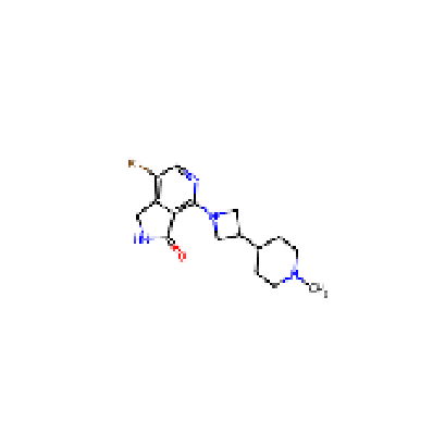 CN1CCC(C2CN(c3ncc(Br)c4c3C(=O)NC4)C2)CC1